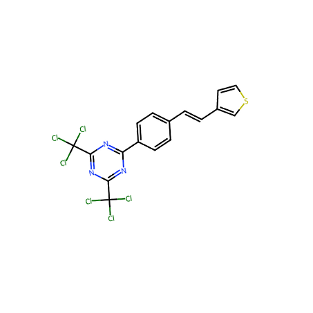 ClC(Cl)(Cl)c1nc(-c2ccc(C=Cc3ccsc3)cc2)nc(C(Cl)(Cl)Cl)n1